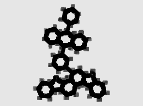 c1ccc(-c2c3ccccc3c(-c3cccc(-c4cc5oc6ccccc6c5c5ccc6c7ccccc7oc6c45)c3)c3ccccc23)cc1